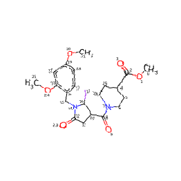 COC(=O)C1CCN(C(=O)C2CC(=O)N(Cc3ccc(OC)cc3OC)C2I)CC1